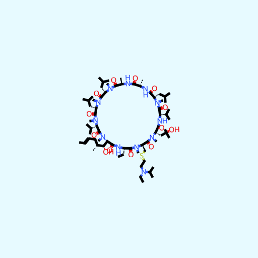 C/C=C/C[C@@H](C)[C@@H](O)[C@H]1C(=O)N[C@@H](CC)C(=O)N(C)[C@H](CSCCN(CC)C(C)C)C(=O)N(C)[C@@H](CC(C)(C)O)C(=O)N[C@@H](C(C)C)C(=O)N(C)[C@@H](CC(C)C)C(=O)N[C@@H](C)C(=O)N[C@H](C)C(=O)N(C)[C@@H](CC(C)C)C(=O)N(C)[C@@H](CC(C)C)C(=O)N(C)[C@@H](C(C)C)C(=O)N1C